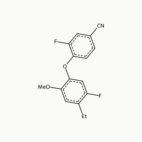 CCc1cc(OC)c(Oc2ccc(C#N)cc2F)cc1F